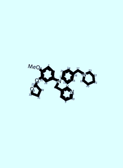 COc1ccc(N(Cc2cccnc2)c2ccc(CN3CCCCC3)cc2)cc1OC1CCCO1